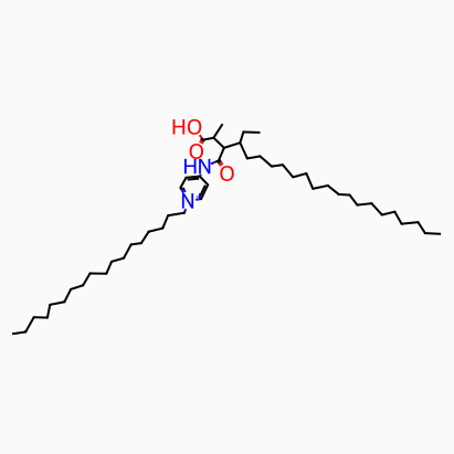 CCCCCCCCCCCCCCCCCCC(CC)C(C(=O)Nc1cc[n+](CCCCCCCCCCCCCCCCCC)cc1)C(C)C(=O)O